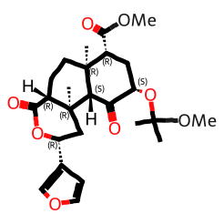 COC(=O)[C@@H]1C[C@H](OC(C)(C)OC)C(=O)[C@H]2[C@@]1(C)CC[C@H]1C(=O)O[C@@H](c3ccoc3)C[C@]21C